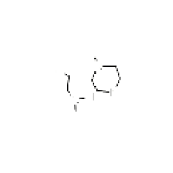 CN(C)CCO.CN1CCNCC1